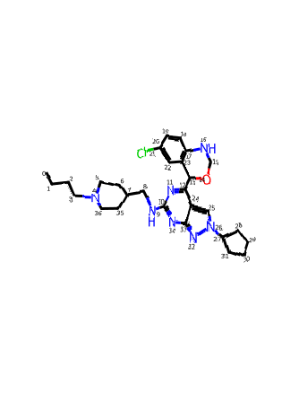 CCCCN1CCC(CNc2nc(C3OCNc4ccc(Cl)cc43)c3cn(C4CCCC4)nc3n2)CC1